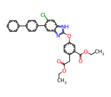 CCOC(=O)Cc1ccc(Oc2nc3cc(-c4ccc(-c5ccccc5)cc4)c(Cl)cc3[nH]2)cc1C(=O)OCC